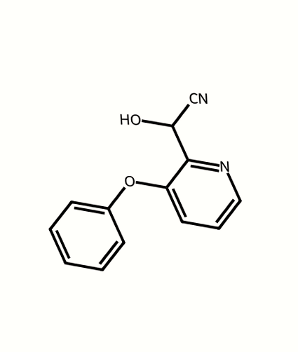 N#CC(O)c1ncccc1Oc1ccccc1